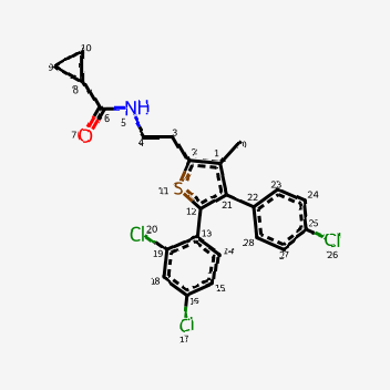 Cc1c(CCNC(=O)C2CC2)sc(-c2ccc(Cl)cc2Cl)c1-c1ccc(Cl)cc1